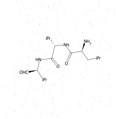 CC(C)C[C@H](N)C(=O)N[C@H](C(=O)N[C@H]([C]=O)C(C)C)C(C)C